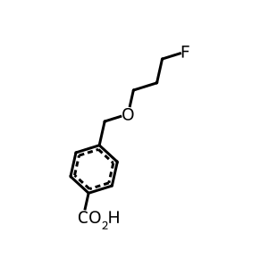 O=C(O)c1ccc(COCCCF)cc1